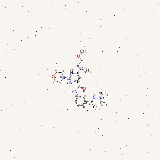 COCCN(C)c1cc(C(=O)Nc2cccc(C(C)=NN(C)C)c2)nc(N2CCOCC2)n1